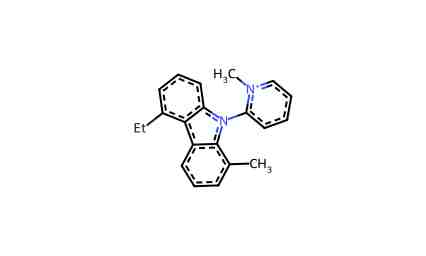 CCc1cccc2c1c1cccc(C)c1n2-c1cccc[n+]1C